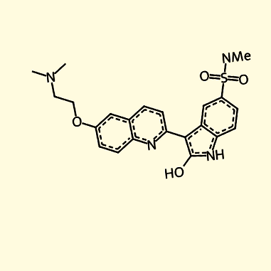 CNS(=O)(=O)c1ccc2[nH]c(O)c(-c3ccc4cc(OCCN(C)C)ccc4n3)c2c1